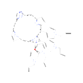 C=CCN1C=CC(c2c(C3=CCN(CC=C)C=C3)c3c(C4=CCN(CC=C)C=C4)c4nc(cc5ccc(cc6nc(cc2n3C2=CCN(CC=C)C=C2)C=C6)[nH]5)C=C4)=CC1